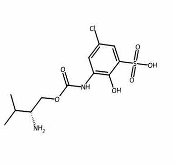 CC(C)[C@@H](N)COC(=O)Nc1cc(Cl)cc(S(=O)(=O)O)c1O